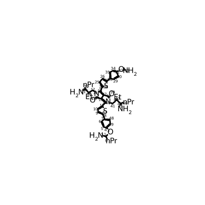 CCCC(N)Oc1ccc(-c2ccc(C3=C4C(=O)N(CC(CC)C(N)CCC)C(c5ccc(-c6ccc(ON)cc6)s5)=C4C(=O)N3CC(CC)C(N)CCC)s2)cc1